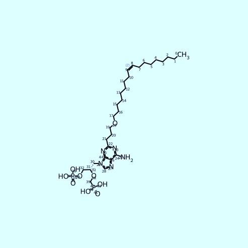 CCCCCCCC/C=C\CCCCCCCCOCCCc1nc(N)c2ncn(C[C@@H](COP(=O)(O)O)OCP(=O)(O)O)c2n1